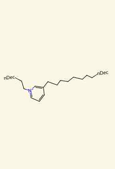 CCCCCCCCCCCCCCCCCCc1ccc[n+](CCCCCCCCCCCC)c1